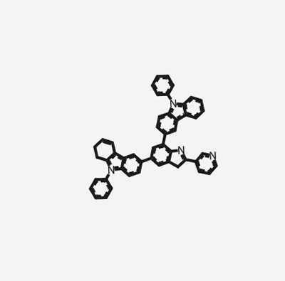 C1=Cc2c(n(-c3ccccc3)c3ccc(-c4cc5c(c(-c6ccc7c(c6)c6ccccc6n7-c6ccccc6)c4)N=C(c4cccnc4)C5)cc23)CC1